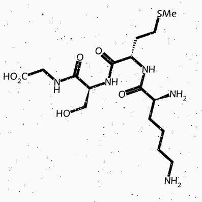 CSCC[C@H](NC(=O)[C@@H](N)CCCCN)C(=O)N[C@@H](CO)C(=O)NCC(=O)O